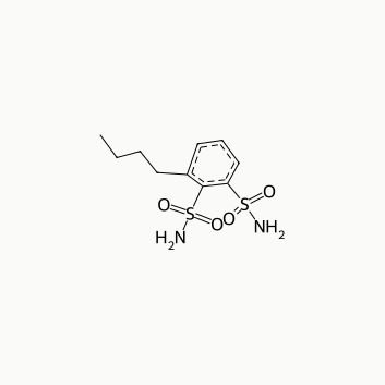 CCCCc1cccc(S(N)(=O)=O)c1S(N)(=O)=O